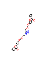 O=c1cc(-c2ccc(OCCOCCn3cc(COCCOc4ccc5c(=O)cc(-c6ccccc6)oc5c4)nn3)cc2)oc2ccccc12